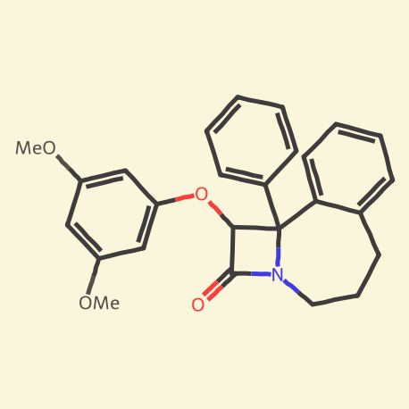 COc1cc(OC)cc(OC2C(=O)N3CCCc4ccccc4C23c2ccccc2)c1